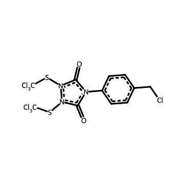 O=c1n(-c2ccc(CCl)cc2)c(=O)n(SC(Cl)(Cl)Cl)n1SC(Cl)(Cl)Cl